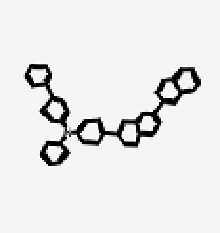 c1ccc(-c2ccc(N(c3ccccc3)c3ccc(-c4ccc5ccc(-c6ccc7ccccc7c6)cc5c4)cc3)cc2)cc1